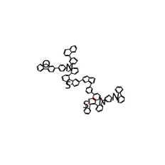 CC1(N(c2ccc(-c3ccc4c(c3)oc3ccccc34)cc2)c2cccc(-c3cccc4ccccc34)c2)C=CC=CC1c1cccc2c1C1C=C(c3ccc4cccc(-c5cccc(-c6ccc(N(c7ccc(-n8c9ccccc9c9ccccc98)cc7)c7ccccc7-c7cccc8sc9ccccc9c78)cc6)c5)c4c3)C=CC1S2